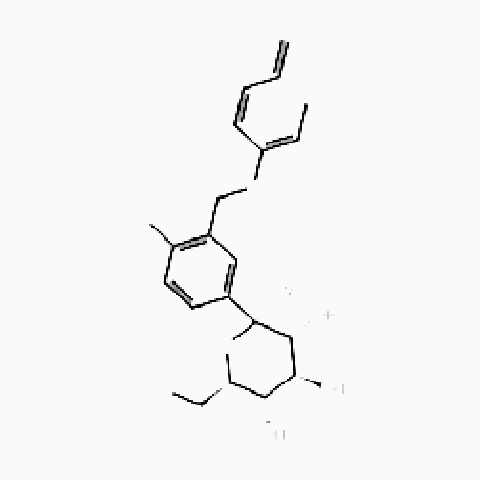 C=C/C=C\C(=C/C)OCc1cc([C@]2(OC)O[C@H](CO)[C@@H](O)[C@H](O)[C@H]2O)ccc1Br